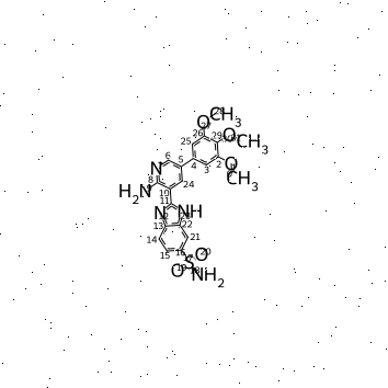 COc1cc(-c2cnc(N)c(-c3nc4ccc(S(N)(=O)=O)cc4[nH]3)c2)cc(OC)c1OC